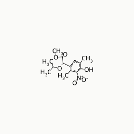 COC(=O)[C@@H](OC(C)C)c1cc(C)c(O)c([N+](=O)[O-])c1C